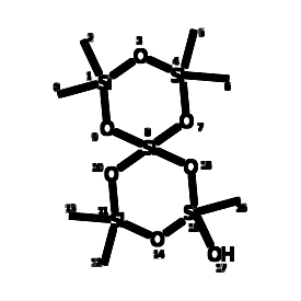 C[Si]1(C)O[Si](C)(C)O[Si]2(O1)O[Si](C)(C)O[Si](C)(O)O2